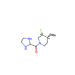 CO[C@H]1CCN(C(=O)C2NCCN2)C[C@H]1F